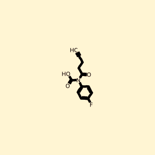 C#CCCC(=O)N(C(=O)O)c1ccc(F)cc1